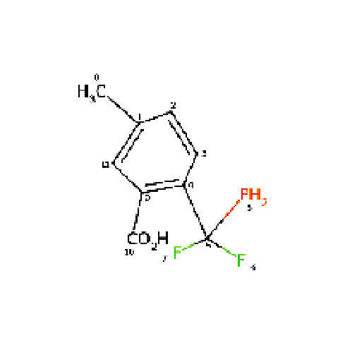 Cc1ccc(C(F)(F)P)c(C(=O)O)c1